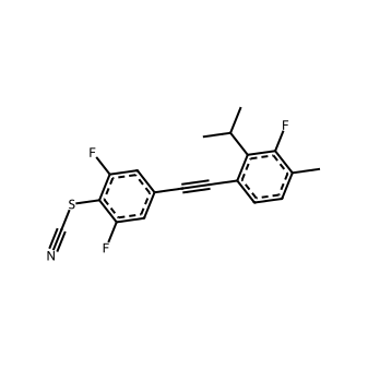 Cc1ccc(C#Cc2cc(F)c(SC#N)c(F)c2)c(C(C)C)c1F